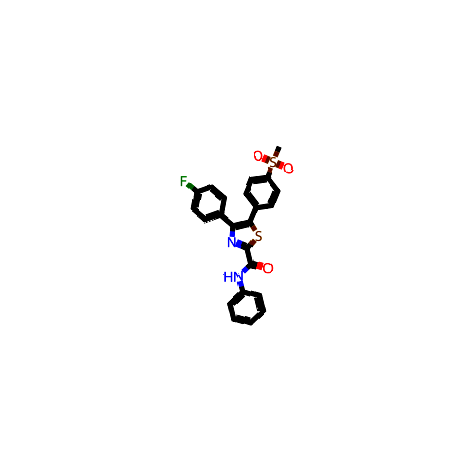 CS(=O)(=O)c1ccc(-c2sc(C(=O)Nc3ccccc3)nc2-c2ccc(F)cc2)cc1